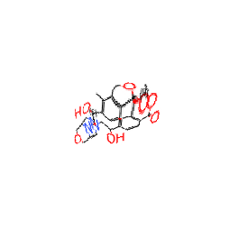 Cc1c([C@H](O)CN2C3COCC2CN(CC(O)c2ccc4c(c2)C[C@@H](C)OC4=O)C3)ccc2c1COC2=O